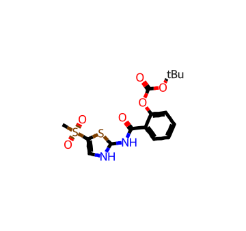 CC(C)(C)OC(=O)Oc1ccccc1C(=O)NC1NC=C(S(C)(=O)=O)S1